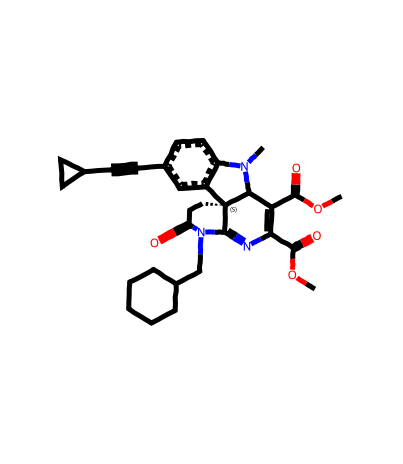 COC(=O)C1=C(C(=O)OC)C2N(C)c3ccc(C#CC4CC4)cc3[C@@]23CCC(=O)N(CC2CCCCC2)C3=N1